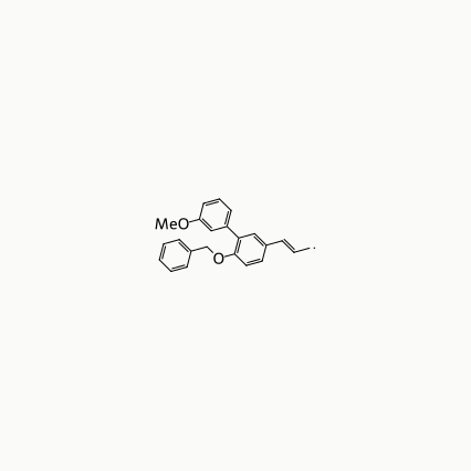 [CH2]C=Cc1ccc(OCc2ccccc2)c(-c2cccc(OC)c2)c1